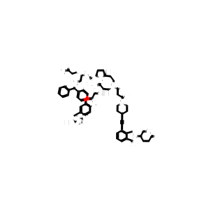 NC(=O)CC[C@H](NC(=O)[C@@H]1CC[C@@H]2CCN(C(=O)CC(=O)N3CCC(C#Cc4cccc5c4CN(C4CCC(=O)NC4=O)C5=O)CC3)C[C@H](NC(=O)c3cc4cc(C(F)(F)P(=O)(O)O)ccc4[nH]3)C(=O)N21)C(=O)NC(c1ccccc1)c1ccccc1